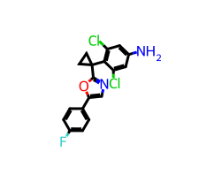 Nc1cc(Cl)c(C2(c3ncc(-c4ccc(F)cc4)o3)CC2)c(Cl)c1